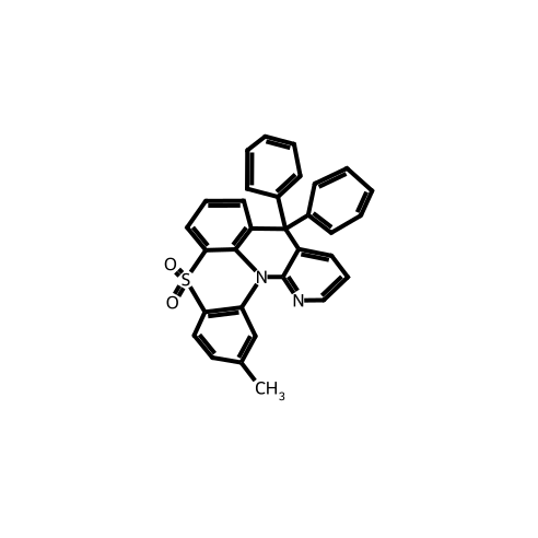 Cc1ccc2c(c1)N1c3ncccc3C(c3ccccc3)(c3ccccc3)c3cccc(c31)S2(=O)=O